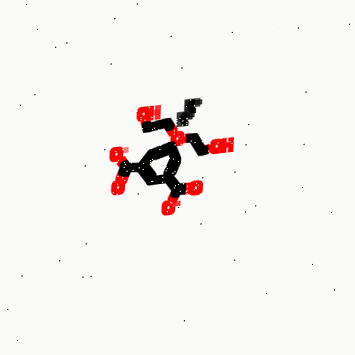 O=C([O-])c1cccc(C(=O)[O-])c1.OCCOCCO.[K+].[K+]